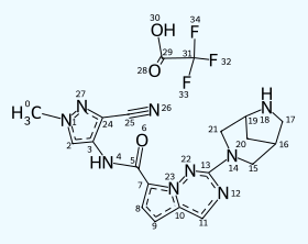 Cn1cc(NC(=O)c2ccc3cnc(N4CC5CNC(C5)C4)nn23)c(C#N)n1.O=C(O)C(F)(F)F